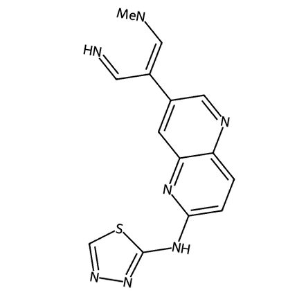 CN/C=C(\C=N)c1cnc2ccc(Nc3nncs3)nc2c1